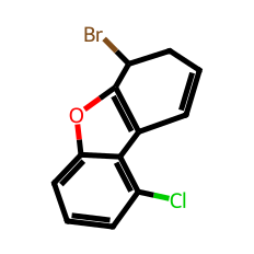 Clc1cccc2oc3c(c12)C=CCC3Br